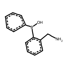 NCc1ccccc1B(O)c1ccccc1